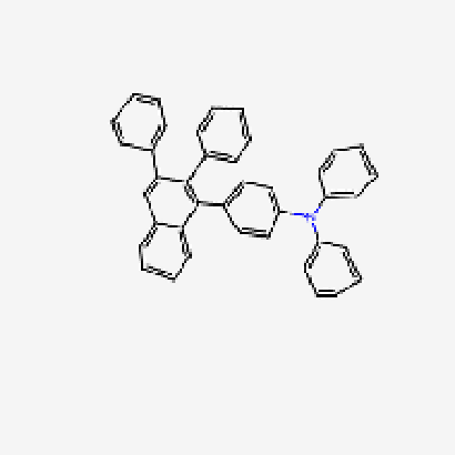 c1ccc(-c2cc3ccccc3c(-c3ccc(N(c4ccccc4)c4ccccc4)cc3)c2-c2ccccc2)cc1